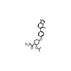 Cc1c(-c2ccc(OC3CCN(C(N)=O)C(OC(C)C)C3)cc2)ccc2nccn12